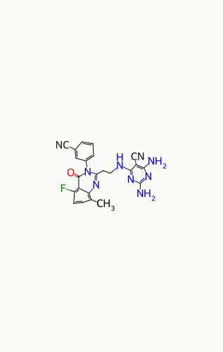 Cc1ccc(F)c2c(=O)n(-c3cccc(C#N)c3)c(CCNc3nc(N)nc(N)c3C#N)nc12